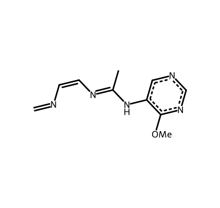 C=N/C=C\N=C(/C)Nc1cncnc1OC